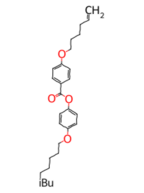 C=CCCCCOc1ccc(C(=O)Oc2ccc(OCCCCCC(C)CC)cc2)cc1